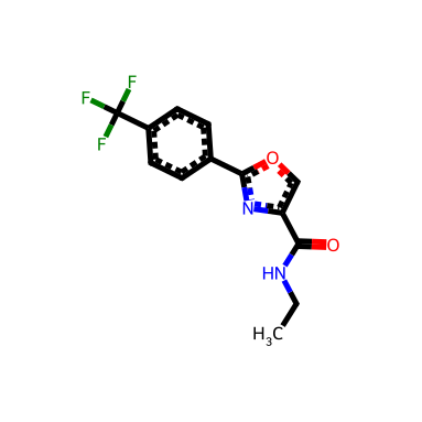 CCNC(=O)c1coc(-c2ccc(C(F)(F)F)cc2)n1